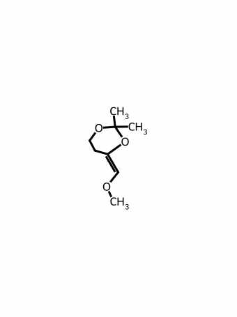 COC=C1CCOC(C)(C)O1